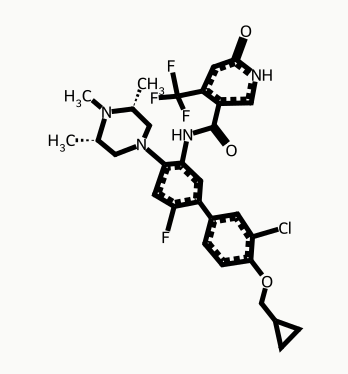 C[C@@H]1CN(c2cc(F)c(-c3ccc(OCC4CC4)c(Cl)c3)cc2NC(=O)c2c[nH]c(=O)cc2C(F)(F)F)C[C@H](C)N1C